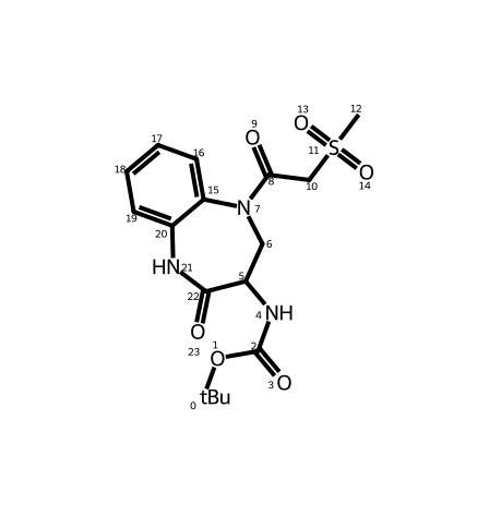 CC(C)(C)OC(=O)NC1CN(C(=O)CS(C)(=O)=O)c2ccccc2NC1=O